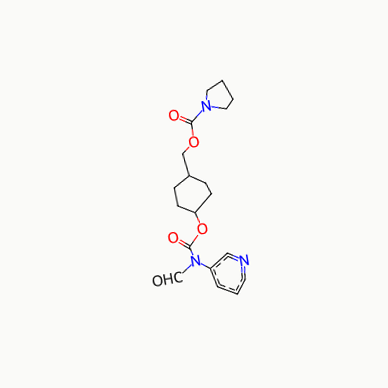 O=CN(C(=O)OC1CCC(COC(=O)N2CCCC2)CC1)c1cccnc1